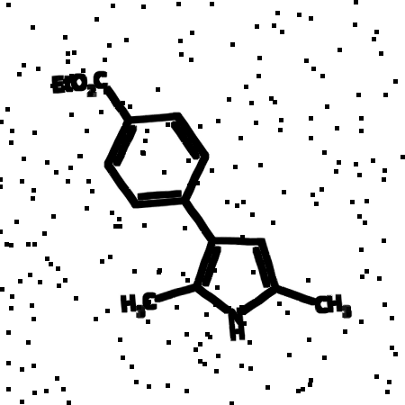 CCOC(=O)c1ccc(-c2cc(C)[nH]c2C)cc1